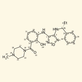 CC[C@@H](Nc1nonc1Nc1cccc(C(=O)N2CCN(C)CC2)c1O)c1ccccc1